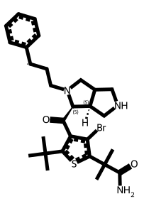 CC(C)(C)c1sc(C(C)(C)C(N)=O)c(Br)c1C(=O)[C@@H]1[C@@H]2CNCC2CN1CC[CH]c1ccccc1